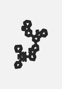 c1ccc(-c2nc(-c3ccccc3)nc(-c3cccc4c3sc3cc(-c5cc(-c6ccc7oc8ccccc8c7c6)c6sc7ccccc7c6c5)ccc34)n2)cc1